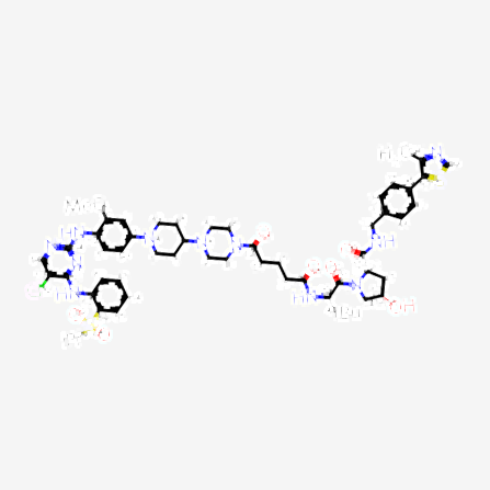 COc1cc(N2CCC(N3CCN(C(=O)CCCC(=O)N[C@H](C(=O)N4C[C@H](O)C[C@H]4C(=O)NCc4ccc(-c5scnc5C)cc4)C(C)(C)C)CC3)CC2)ccc1Nc1ncc(Cl)c(Nc2ccccc2S(=O)(=O)C(C)C)n1